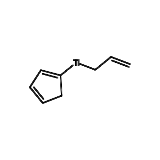 C=C[CH2][Ti][C]1=CC=CC1